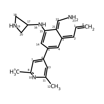 C=C/C=c1/cc(-c2cc(C)nc(C)c2)cc(NC2CNC2)/c1=C/N